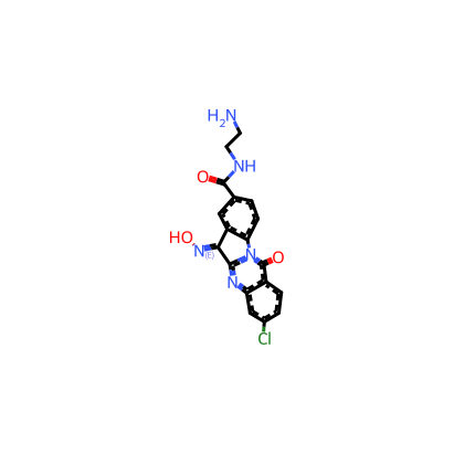 NCCNC(=O)c1ccc2c(c1)/C(=N\O)c1nc3cc(Cl)ccc3c(=O)n1-2